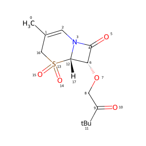 CC1=CN2C(=O)[C@H](OCC(=O)C(C)(C)C)[C@@H]2S(=O)(=O)C1